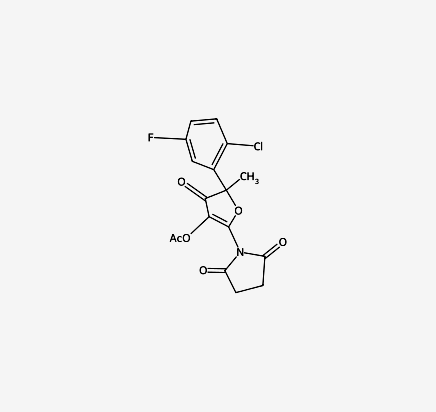 CC(=O)OC1=C(N2C(=O)CCC2=O)OC(C)(c2cc(F)ccc2Cl)C1=O